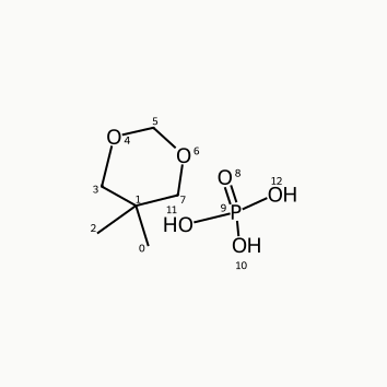 CC1(C)COCOC1.O=P(O)(O)O